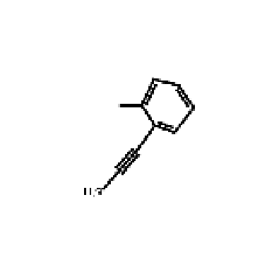 Cc1ccccc1C#C[SiH3]